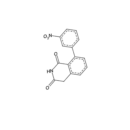 O=C1Cc2cccc(-c3cccc([N+](=O)[O-])c3)c2C(=O)N1